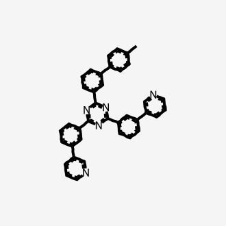 Cc1ccc(-c2cccc(-c3nc(-c4cccc(-c5cccnc5)c4)nc(-c4cccc(-c5cccnc5)c4)n3)c2)cc1